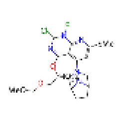 COCOCC1OC2=NC(Cl)N(F)c3nc(SC)cc(c32)N2CC3CCC(C12)N3C(=O)O